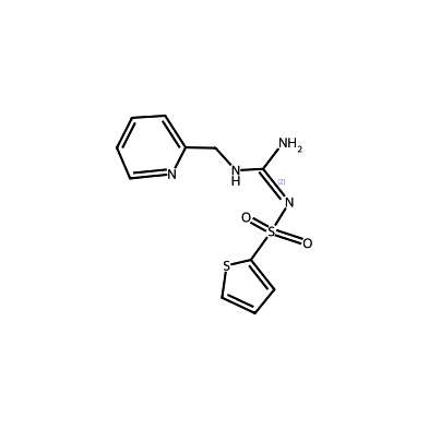 N/C(=N/S(=O)(=O)c1cccs1)NCc1ccccn1